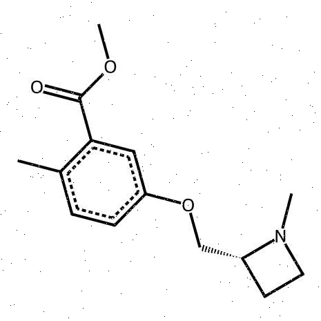 COC(=O)c1cc(OC[C@H]2CCN2C)ccc1C